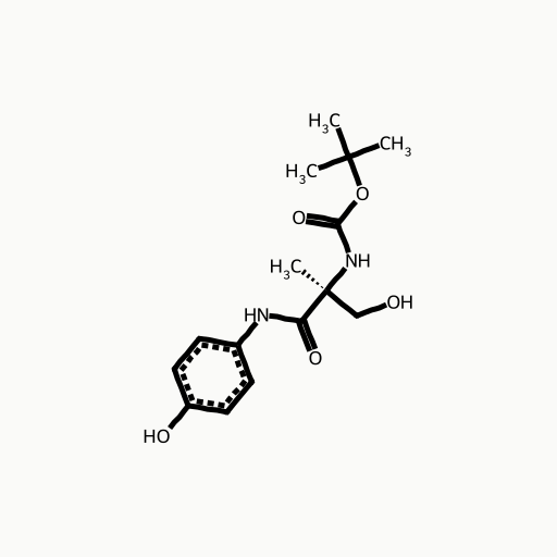 CC(C)(C)OC(=O)N[C@@](C)(CO)C(=O)Nc1ccc(O)cc1